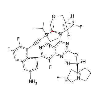 [2H]C([2H])(Oc1nc(N2CCOC[C@H]3[C@H](F)[C@H]32)c2cnc(-c3cc(N)cc4cc(F)c(F)c(C#C[Si](C(C)C)(C(C)C)C(C)C)c34)c(F)c2n1)[C@@]12CCCN1C[C@H](F)C2